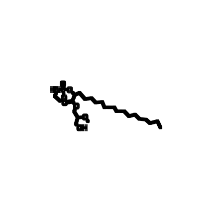 CCCCCCCCCCCCCCCCC(OP1(=O)NCCO1)C(=O)OCC(CO)OC